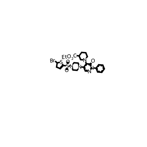 CCOC(=O)C1CCCN(c2c(N3CCN(S(=O)(=O)C4=CCC(Br)S4)CC3)cnn(-c3ccccc3)c2=O)C1